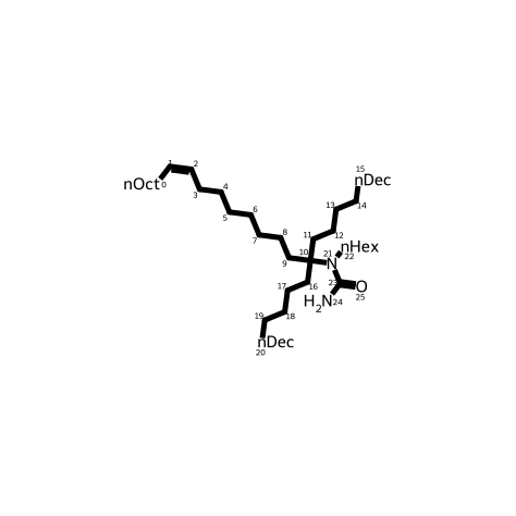 CCCCCCCC/C=C\CCCCCCCC(CCCCCCCCCCCCCC)(CCCCCCCCCCCCCC)N(CCCCCC)C(N)=O